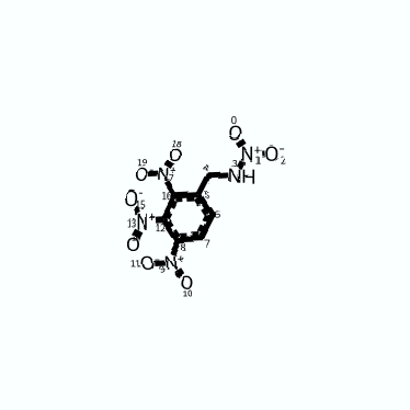 O=[N+]([O-])NCc1ccc([N+](=O)[O-])c([N+](=O)[O-])c1[N+](=O)[O-]